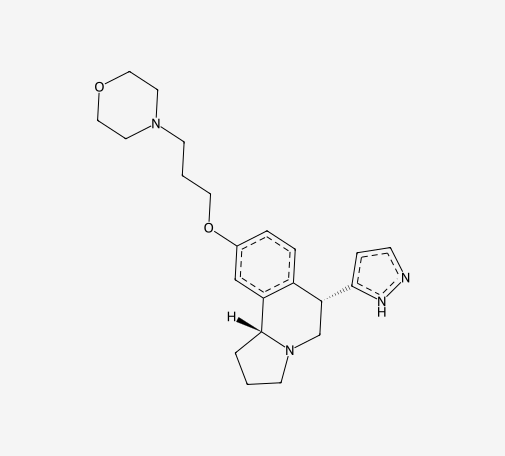 c1cc([C@@H]2CN3CCC[C@@H]3c3cc(OCCCN4CCOCC4)ccc32)[nH]n1